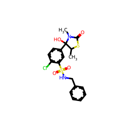 CC1SC(=O)N(C)C1(O)c1ccc(Cl)c(S(=O)(=O)NCc2ccccc2)c1